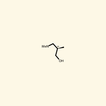 CNC[C@@H](C)CO